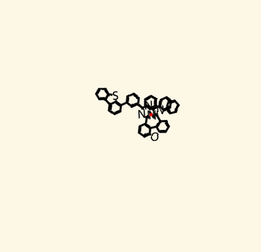 c1ccc(-c2nc(-c3cccc(-c4cccc5c4sc4ccccc45)c3)nc(-c3cccc4oc5cccc(-c6nc7ccccc7n6-c6ccccc6)c5c34)n2)cc1